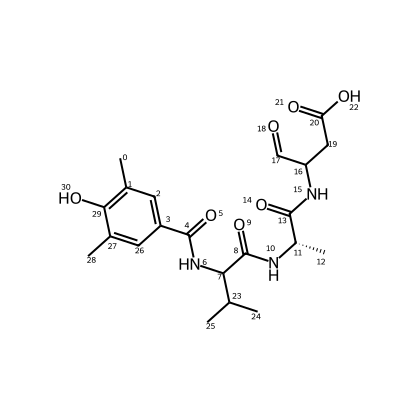 Cc1cc(C(=O)NC(C(=O)N[C@@H](C)C(=O)NC(C=O)CC(=O)O)C(C)C)cc(C)c1O